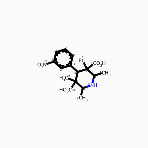 CCC1(C(=O)O)C(C)NC(C)C(C)(C(=O)O)C1c1cccc([N+](=O)[O-])c1